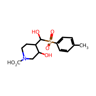 Cc1ccc(S(=O)(=O)C(O)C2CCN(C(=O)O)CC2O)cc1